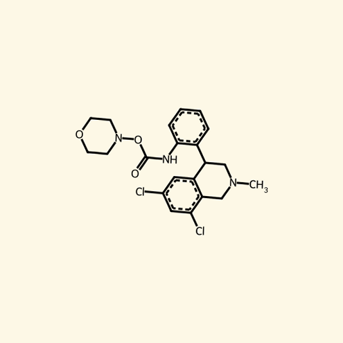 CN1Cc2c(Cl)cc(Cl)cc2C(c2ccccc2NC(=O)ON2CCOCC2)C1